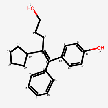 OCCC/C(=C(/c1ccccc1)c1ccc(O)cc1)C1CCCC1